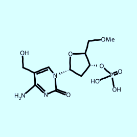 COCC1O[C@@H](n2cc(CO)c(N)nc2=O)C[C@H]1OP(=O)(O)O